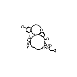 CO[C@H]1/C=C/CCCS(=O)(NC(=O)CC2CC2)=NC(=O)c2ccc3c(c2)N(Cc2ccc(Cl)cc2CCCCO3)C[C@@H]2CC[C@H]21